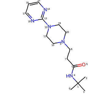 CC(C)(C)NC(=O)CCN1CCN(c2ncccn2)CC1